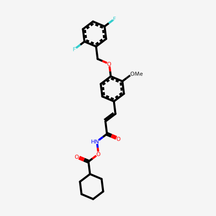 COc1cc(C=CC(=O)NOC(=O)C2CCCCC2)ccc1OCc1cc(F)ccc1F